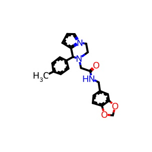 Cc1ccc(C2c3cccn3CCN2CC(=O)NCc2ccc3c(c2)OCO3)cc1